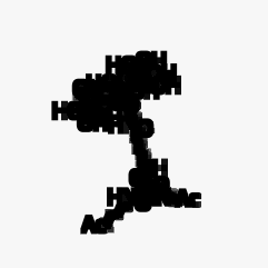 CC(=O)CCCCCNC(=O)CN(CC(=O)NCCCCCC(=O)NCCO[C@H]1O[C@H](CO[C@H]2O[C@H](CO)[C@@H](O)[C@H](O)[C@@H]2O)[C@@H](O)[C@H](O[C@H]2O[C@H](CO)[C@@H](O)[C@H](O)[C@@H]2O)[C@@H]1O)CC(=O)NCCC(C)=O